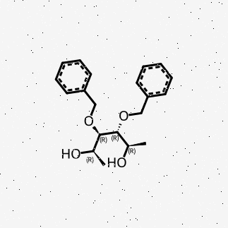 C[C@@H](O)[C@@H](OCc1ccccc1)[C@H](OCc1ccccc1)[C@@H](C)O